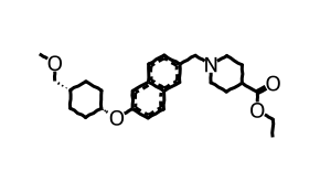 CCOC(=O)C1CCN(Cc2ccc3cc(O[C@H]4CC[C@@H](COC)CC4)ccc3c2)CC1